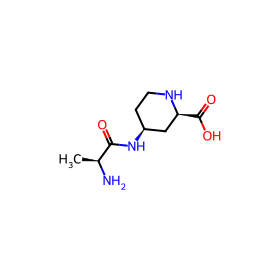 C[C@H](N)C(=O)N[C@H]1CCN[C@@H](C(=O)O)C1